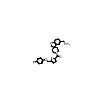 NCc1ccc2c(c1)C1(CCN(C(=O)c3ccc(COc4ccc(F)cc4)o3)CC1)CO2